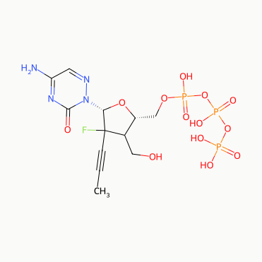 CC#CC1(F)C(CO)[C@@H](COP(=O)(O)OP(=O)(O)OP(=O)(O)O)O[C@H]1n1ncc(N)nc1=O